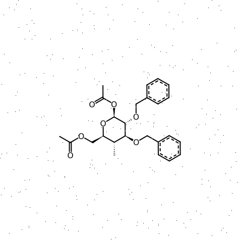 CC(=O)OC[C@H]1O[C@@H](OC(C)=O)[C@H](OCc2ccccc2)[C@@H](OCc2ccccc2)[C@@H]1C